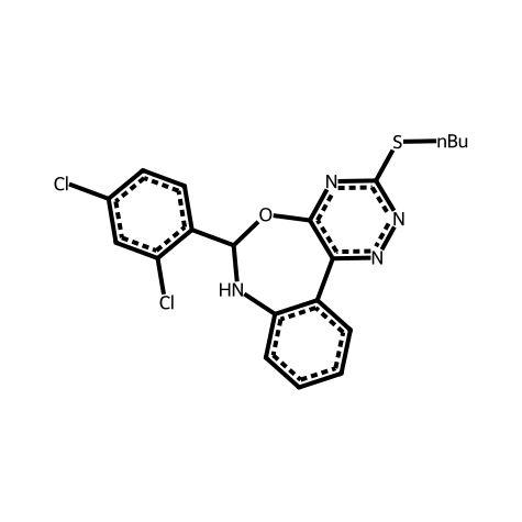 CCCCSc1nnc2c(n1)OC(c1ccc(Cl)cc1Cl)Nc1ccccc1-2